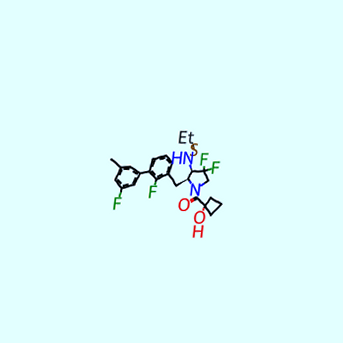 CCSN[C@@H]1[C@H](Cc2cccc(-c3cc(C)cc(F)c3)c2F)N(C(=O)C2(O)CCC2)CC1(F)F